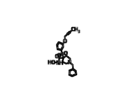 CC#CCOc1cccc(S(=O)(=O)C2(C(=O)NO)CCN(Cc3ccccc3)CC2)c1